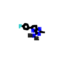 CCN(CC)c1nc(C)nc2ccc(-c3ccc(F)cc3)nc12